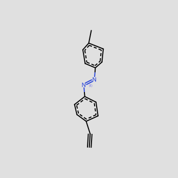 C#Cc1ccc(/N=N/c2ccc(C)cc2)cc1